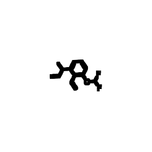 C=C[C](C)c1cccc(OC(F)F)c1C=C